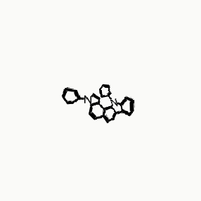 c1ccc(-n2ccc3c4c(ccc5c6ccccc6n(-c6ccccc6)c54)ccc32)cc1